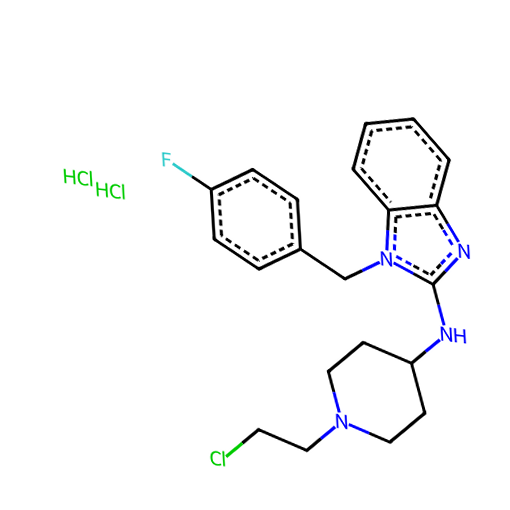 Cl.Cl.Fc1ccc(Cn2c(NC3CCN(CCCl)CC3)nc3ccccc32)cc1